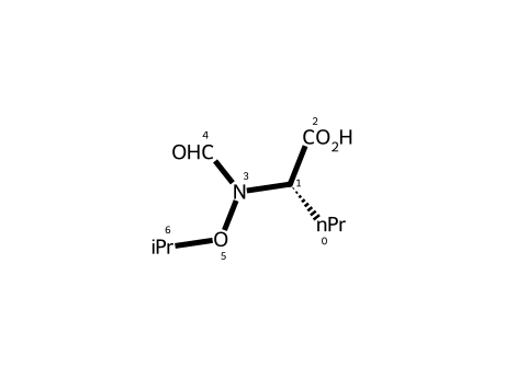 CCC[C@@H](C(=O)O)N(C=O)OC(C)C